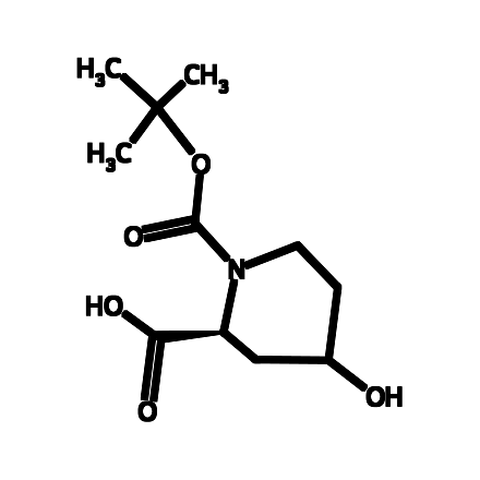 CC(C)(C)OC(=O)N1CCC(O)C[C@H]1C(=O)O